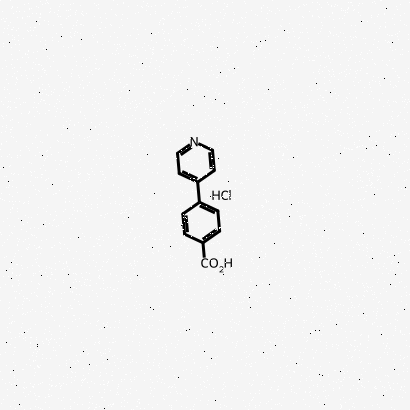 Cl.O=C(O)c1ccc(-c2ccncc2)cc1